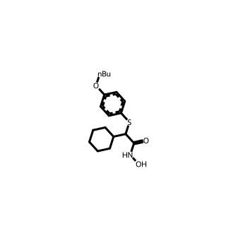 CCCCOc1ccc(SC(C(=O)NO)C2CCCCC2)cc1